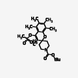 CC1=C(OS(C)(=O)=O)c2c(C)c(C)c(C)c(C)c2OC12CCN(C(=O)OC(C)(C)C)CC2